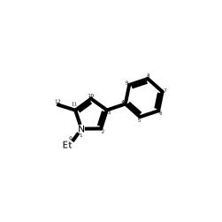 CCn1cc(-c2ccccc2)cc1C